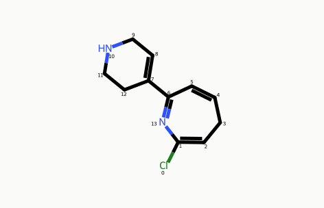 ClC1=CCC=CC(C2=CCNCC2)=N1